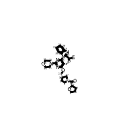 O=C([C@H]1CCCO1)N1CC[C@H](COc2cc(-n3c(C(F)F)nc4ccccc43)nc(N3CCOCC3)n2)C1